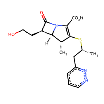 C[C@H](Cc1cccnn1)SC1=C(C(=O)O)N2C(=O)[C@H](CCO)[C@@H]2[C@H]1C